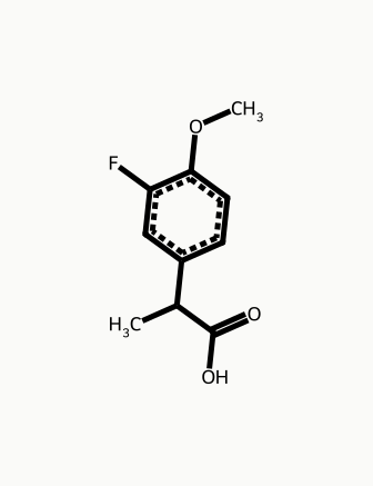 COc1ccc(C(C)C(=O)O)cc1F